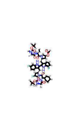 CC[C@H](NC(=O)[C@H](C)N(C)C(=O)OC(C)(C)C)C(=O)N1C[C@@H](OC(C)=O)C[C@H]1Cc1c(-c2[nH]c3cc(F)ccc3c2C[C@@H]2C[C@H](F)CN2C(=O)[C@@H](NC(=O)[C@H](C)N(C)C(=O)OC(C)(C)C)C2CCCCC2)[nH]c2c(F)cccc12